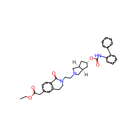 CCOC(=O)Cc1ccc2c(c1)CCN(CCN1C[C@H]3C[C@H](OC(=O)Nc4ccccc4-c4ccccc4)C[C@H]3C1)C2=O